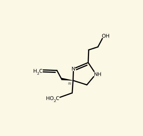 C=CC[C@]1(CC(=O)O)CNC(CCO)=N1